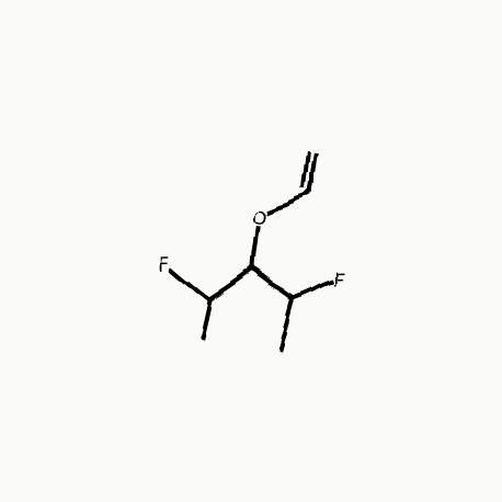 C=COC(C(C)F)C(C)F